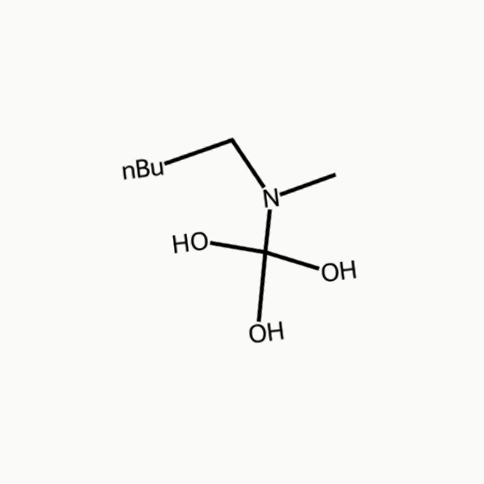 CCCCCN(C)C(O)(O)O